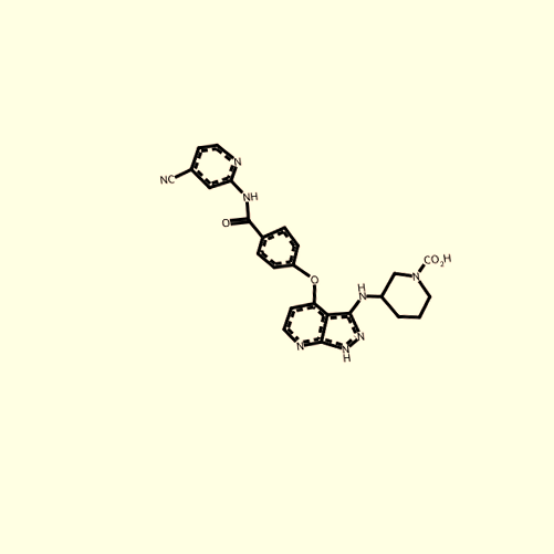 N#Cc1ccnc(NC(=O)c2ccc(Oc3ccnc4[nH]nc(NC5CCCN(C(=O)O)C5)c34)cc2)c1